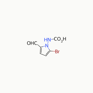 O=Cc1ccc(Br)n1NC(=O)O